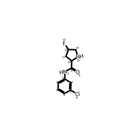 O=C(Nc1cccc(Cl)c1)C1CC(F)CN1